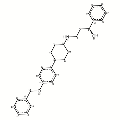 O[C@@H](CCNC1CCC(c2ccc(OCc3ccccc3)cc2)CC1)c1ccccc1